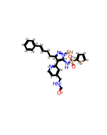 O=CNCc1ccnc(-c2c(CCC=Cc3ccccc3)nn(S)c2NS(=O)(=O)c2cccs2)c1